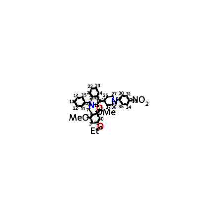 CCOc1cc(OC)c(CN(Cc2ccccc2)C(=O)C(c2ccccc2)C2CCN(c3ccc([N+](=O)[O-])cc3)CC2)c(OC)c1